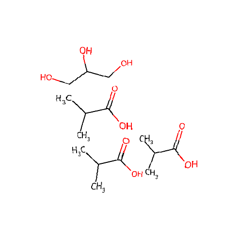 CC(C)C(=O)O.CC(C)C(=O)O.CC(C)C(=O)O.OCC(O)CO